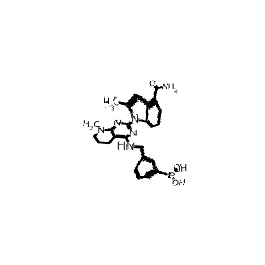 Cc1cc2c(C(N)=O)cccc2n1-c1nc(NCc2cccc(B(O)O)c2)c2c(n1)N(C)CCC2